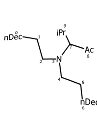 CCCCCCCCCCCCN(CCCCCCCCCCCC)C(C(C)=O)C(C)C